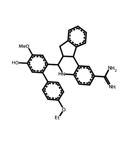 CCOc1ccc(-c2cc(O)c(OC)cc2C2Nc3ccc(C(=N)N)cc3C3c4ccccc4CC23)cc1